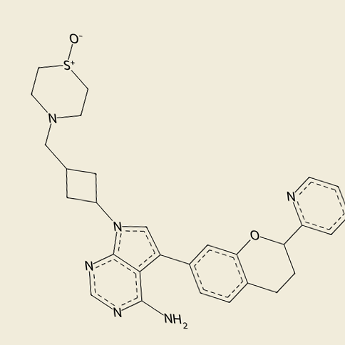 Nc1ncnc2c1c(-c1ccc3c(c1)OC(c1ccccn1)CC3)cn2C1CC(CN2CC[S+]([O-])CC2)C1